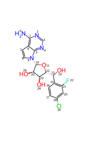 Nc1ncnc2c1ccn2[C@@H]1O[C@H](C(O)c2ccc(Cl)cc2F)[C@@H](O)[C@H]1O